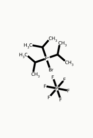 CC(C)[P+](Br)(C(C)C)C(C)C.F[P-](F)(F)(F)(F)F